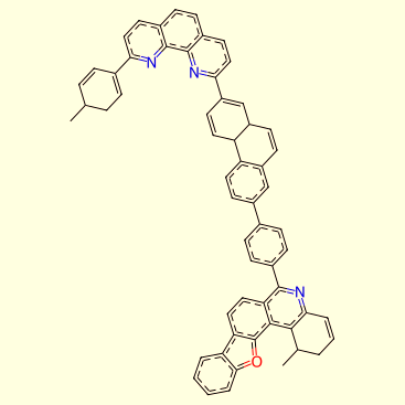 CC1C=CC(c2ccc3ccc4ccc(C5=CC6C=Cc7cc(-c8ccc(-c9nc%10c(c%11c9ccc9c%12ccccc%12oc9%11)C(C)CC=C%10)cc8)ccc7C6C=C5)nc4c3n2)=CC1